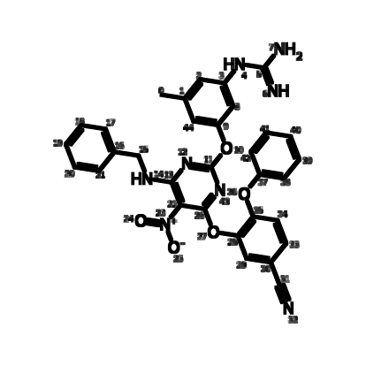 Cc1cc(NC(=N)N)cc(Oc2nc(NCc3ccccc3)c([N+](=O)[O-])c(Oc3cc(C#N)ccc3Oc3ccccc3)n2)c1